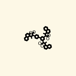 Cc1c(-c2ccc(-c3cc(-c4c(C)c5c(ccc6ccccc65)oc4=O)cc(-c4c(C)c5c(ccc6ccccc65)oc4=O)c3)cc2)c(=O)oc2ccc3ccccc3c12